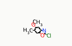 COc1cc2nc(Cl)oc2cc1C